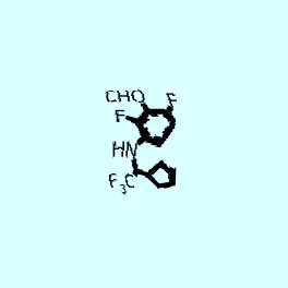 O=Cc1c(F)ccc(NC(C2CCCC2)C(F)(F)F)c1F